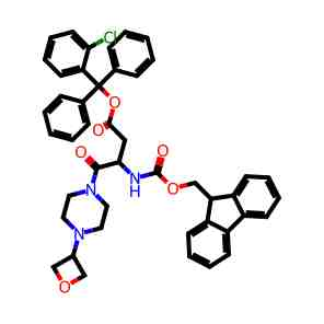 O=C(CC(NC(=O)OCC1c2ccccc2-c2ccccc21)C(=O)N1CCN(C2COC2)CC1)OC(c1ccccc1)(c1ccccc1)c1ccccc1Cl